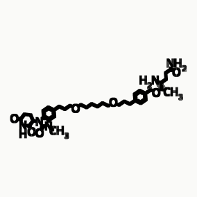 C[C@@H](OCc1ccc(CCCOCCCCCCOCCCc2ccc3c(c2)n(C)c(=O)n3C2CCC(=O)NC2=O)cc1)[C@@H](N)CCC(N)=O